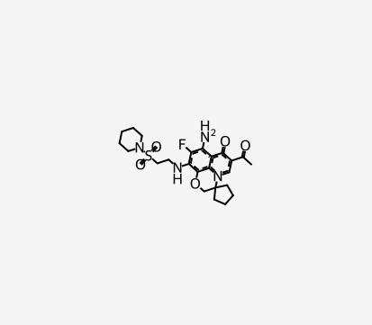 CC(=O)c1cn2c3c(c(NCCS(=O)(=O)N4CCCCC4)c(F)c(N)c3c1=O)OCC21CCCC1